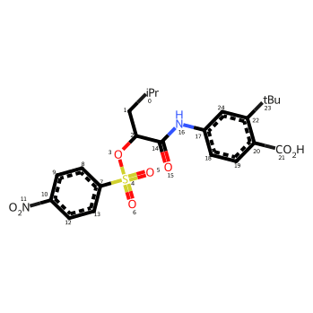 CC(C)CC(OS(=O)(=O)c1ccc([N+](=O)[O-])cc1)C(=O)Nc1ccc(C(=O)O)c(C(C)(C)C)c1